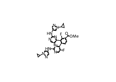 COC(=O)c1ccc(-c2nc(Nc3cnn(C4CC4)c3)ncc2F)c(-c2nc(Nc3cnn(C4CC4)c3)ncc2F)c1F